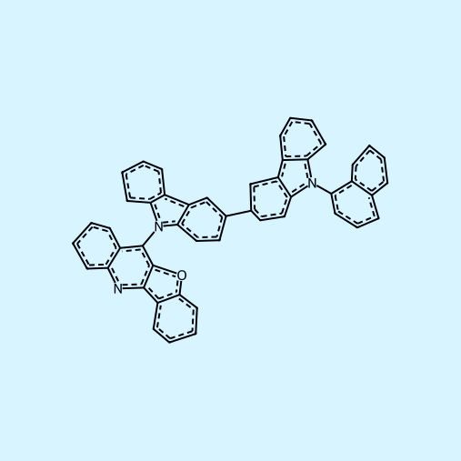 c1ccc2c(-n3c4ccccc4c4cc(-c5ccc6c(c5)c5ccccc5n6-c5c6ccccc6nc6c5oc5ccccc56)ccc43)cccc2c1